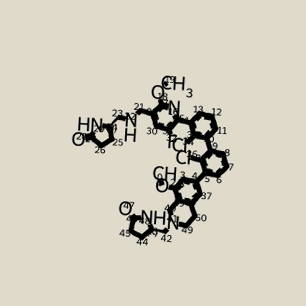 COc1cc(-c2cccc(-c3cccc(-c4nc(OC)c(CNC[C@H]5CCC(=O)N5)cc4F)c3Cl)c2Cl)cc2c1CN(C[C@H]1CCC(=O)N1)CC2